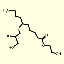 CCCCC(CCCCC(=O)OCCO)OCC(O)CO